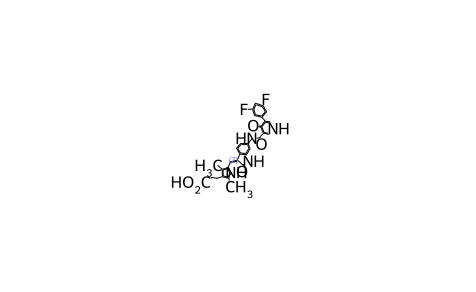 Cc1[nH]c(/C=C2\C(=O)Nc3cc(NC(=O)c4c[nH]cc(-c5cc(F)cc(F)c5)c4=O)ccc32)c(C)c1CCC(=O)O